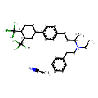 CC#N.CCN(CCc1ccccc1)C(C)CCc1ccc(C2CCC(C(F)(F)F)C(C(F)(F)F)C2)cc1